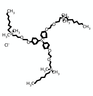 CCCCCCCC[Si](C)(C)CCCOCCOc1ccc([S+](c2ccc(OCCOCCC[Si](C)(C)CCCCCCCC)cc2)c2ccc(OCCOCCC[Si](C)(C)CCCCCCCC)cc2)cc1.[Cl-]